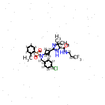 Cc1ccccc1S(=O)(=O)N(Cc1ccc(Cl)cc1)C12CC(C3=NC(C)(C)[C@H](C(=O)NCCC(F)(F)F)N3)(C1)C2